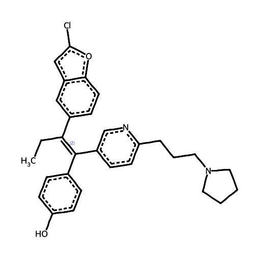 CC/C(=C(\c1ccc(O)cc1)c1ccc(CCCN2CCCC2)nc1)c1ccc2oc(Cl)cc2c1